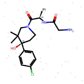 CC(C)[C@@H](NC(=O)CN)C(=O)N1CC[C@](O)(c2ccc(Cl)cc2)C(C)(C)C1